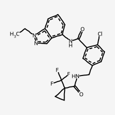 CCn1ncc2c(NC(=O)c3cc(CNC(=O)C4(C(F)(F)F)CC4)ccc3Cl)cccc21